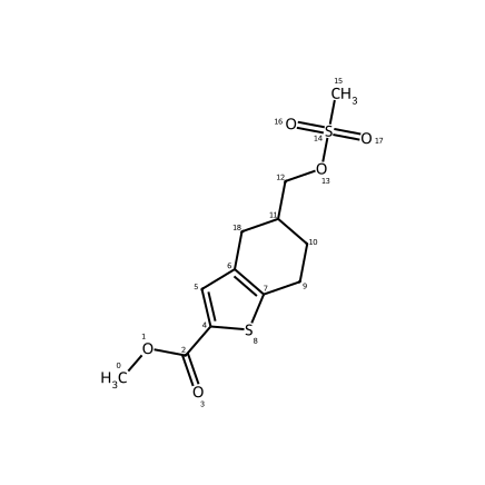 COC(=O)c1cc2c(s1)CCC(COS(C)(=O)=O)C2